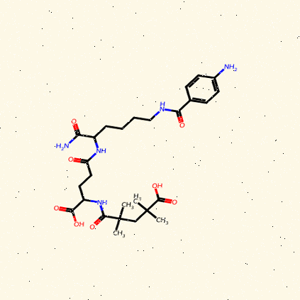 CC(C)(CC(C)(C)C(=O)NC(CCC(=O)NC(CCCCNC(=O)c1ccc(N)cc1)C(N)=O)C(=O)O)C(=O)O